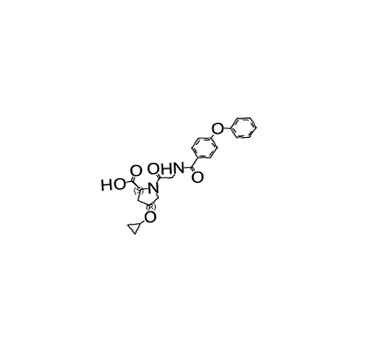 O=C(NCC(=O)N1C[C@H](OC2CC2)C[C@H]1C(=O)O)c1ccc(Oc2ccccc2)cc1